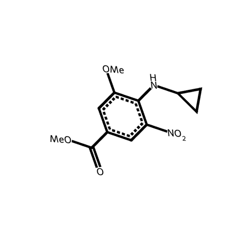 COC(=O)c1cc(OC)c(NC2CC2)c([N+](=O)[O-])c1